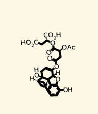 CC(=O)O[C@@H](CC(=O)OC1=CC[C@@]2(O)[C@@H]3CCC[C@@]24c2c(ccc(O)c2O[C@@H]14)C3)C(=O)O[C@H](CC(=O)O)C(=O)O